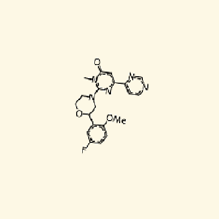 COc1ccc(F)cc1C1CN(c2nc(-c3ccncn3)cc(=O)n2C)CCO1